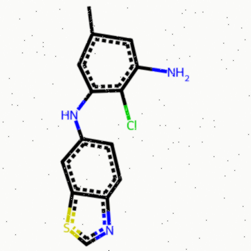 Cc1cc(N)c(Cl)c(Nc2ccc3ncsc3c2)c1